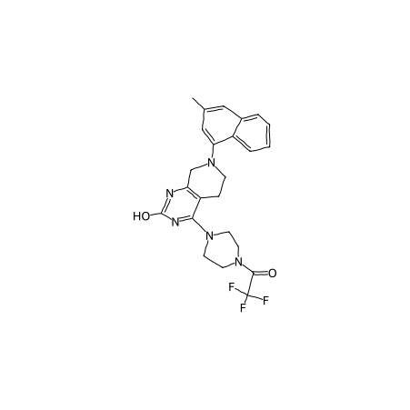 Cc1cc(N2CCc3c(nc(O)nc3N3CCN(C(=O)C(F)(F)F)CC3)C2)c2ccccc2c1